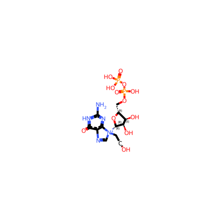 Nc1nc2c(c(=O)[nH]1)N=C[N+]2(CCO)[C@@H]1O[C@H](COP(=O)(O)OP(=O)(O)O)[C@@H](O)[C@H]1O